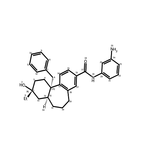 CC[C@@]1(O)CC[C@@]2(Cc3ccccc3)c3ccc(C(=O)Nc4cccc(N)c4)cc3CCC[C@H]2C1